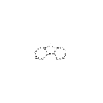 [c]1cc2c3ccccc3nn2nn1